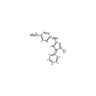 COc1ccc(Nc2cc(Cl)n(-c3ccccc3)n2)cc1